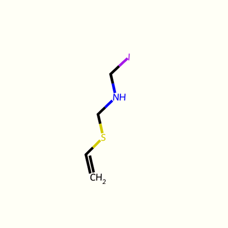 C=CSCNCI